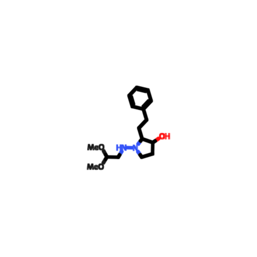 COC(CNN1CCC(O)C1CCc1ccccc1)OC